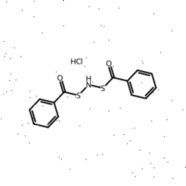 Cl.O=C(SNSC(=O)c1ccccc1)c1ccccc1